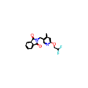 Cc1cc(OCC(F)F)ncc1CN1C(=O)c2ccccc2C1=O